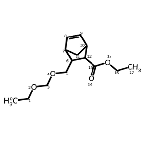 CCOCOCC1C2C=CC(C2)C1C(=O)OCC